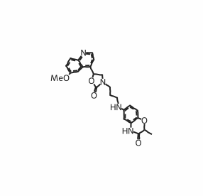 COc1ccc2nccc(C3CN(CCCNc4ccc5c(c4)NC(=O)C(C)O5)C(=O)O3)c2c1